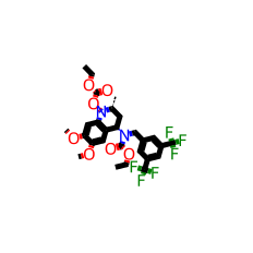 CCOC(=O)ON1c2cc(OC)c(OC)cc2[C@@H](N(Cc2cc(C(F)(F)F)cc(C(F)(F)F)c2)C(=O)OCC)C[C@H]1C